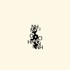 COc1c(-c2cnc(N)nc2)cc(Cl)cc1C(C)Nc1ncnc2[nH]cnc12